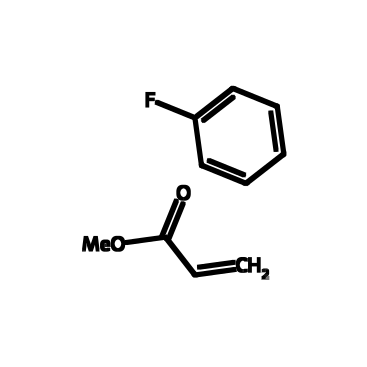 C=CC(=O)OC.Fc1ccccc1